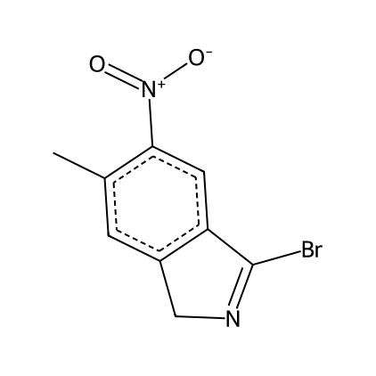 Cc1cc2c(cc1[N+](=O)[O-])C(Br)=NC2